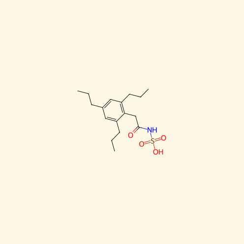 CCCc1cc(CCC)c(CC(=O)NS(=O)(=O)O)c(CCC)c1